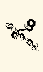 O=C(O)N1CCN(c2ccc(-c3c(C=Cc4ccc5ccccc5n4)nc4c(N5CCOCC5)ccnn34)cn2)CC1